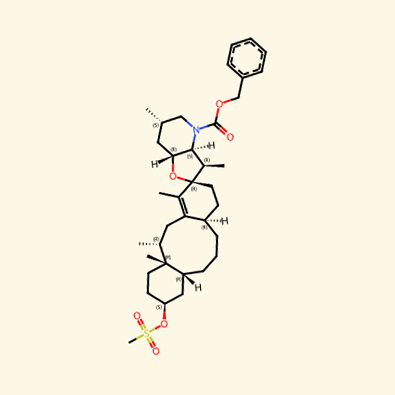 CC1=C2C[C@@H](C)[C@@]3(C)CC[C@H](OS(C)(=O)=O)C[C@H]3CCC[C@@H]2CC[C@]12O[C@@H]1C[C@H](C)CN(C(=O)OCc3ccccc3)[C@H]1[C@H]2C